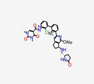 COc1nc(-c2cccc(-c3cccc(NC(=O)c4cn(C)c(=O)n(C)c4=O)c3Cl)c2C#N)cc2c1[C@@H](NC[C@@H]1CCC(=O)N1)CC2